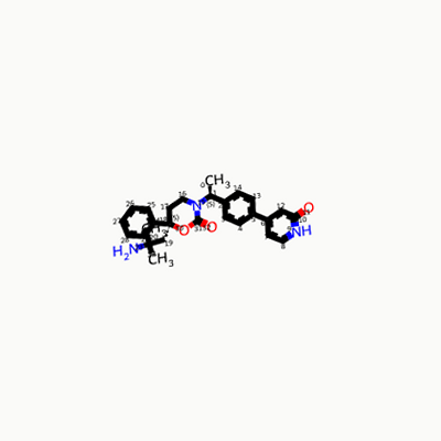 C[C@@H](c1ccc(-c2cc[nH]c(=O)c2)cc1)N1CC[C@](CC(C)(C)N)(c2ccccc2)OC1=O